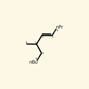 CCCC=CC(C)CCCCC